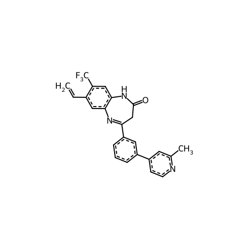 C=Cc1cc2c(cc1C(F)(F)F)NC(=O)CC(c1cccc(-c3ccnc(C)c3)c1)=N2